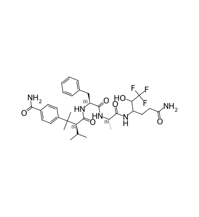 CC(C)[C@H](C(=O)N[C@@H](Cc1ccccc1)C(=O)N[C@@H](C)C(=O)NC(CCC(N)=O)C(O)C(F)(F)F)C(C)(C)c1ccc(C(N)=O)cc1